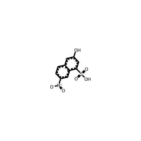 O=[N+]([O-])c1ccc2[c]c(O)cc(S(=O)(=O)O)c2c1